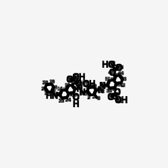 Cc1cc(N=Nc2c(S(=O)(=O)O)cc3cc(Nc4ccccc4)ccc3c2O)c(O)cc1N=Nc1cc(OS(=O)O)c2cccc(OS(=O)O)c2c1